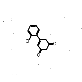 O=C1C=C(c2ccccc2Cl)CC(=O)C1